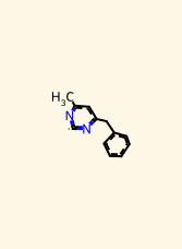 Cc1cc(Cc2ccccc2)n[c]n1